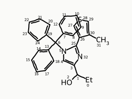 CCC(O)c1cn(C(c2ccccc2)(c2ccccc2)c2ccccc2)c(-c2cscc2C)n1